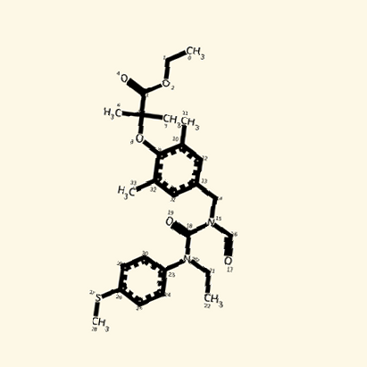 CCOC(=O)C(C)(C)Oc1c(C)cc(CN(C=O)C(=O)N(CC)c2ccc(SC)cc2)cc1C